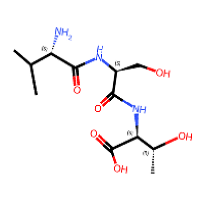 CC(C)[C@H](N)C(=O)N[C@@H](CO)C(=O)N[C@H](C(=O)O)[C@@H](C)O